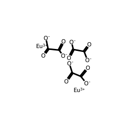 O=C([O-])C(=O)[O-].O=C([O-])C(=O)[O-].O=C([O-])C(=O)[O-].[Eu+3].[Eu+3]